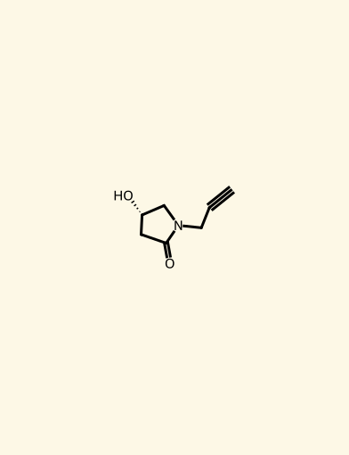 C#CCN1C[C@@H](O)CC1=O